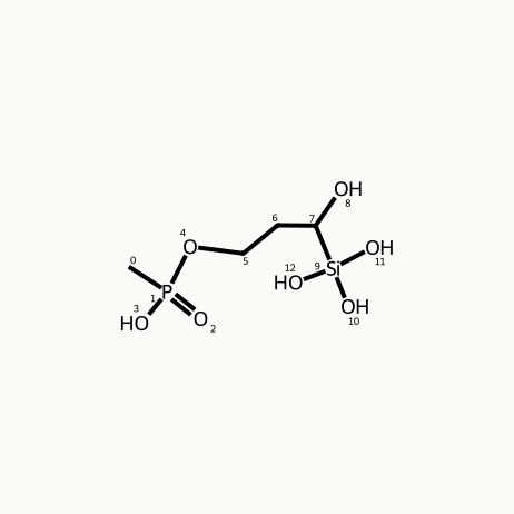 CP(=O)(O)OCCC(O)[Si](O)(O)O